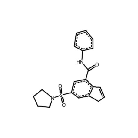 O=C(Nc1ccccc1)c1cc(S(=O)(=O)N2CCCC2)cc2c1C=CC2